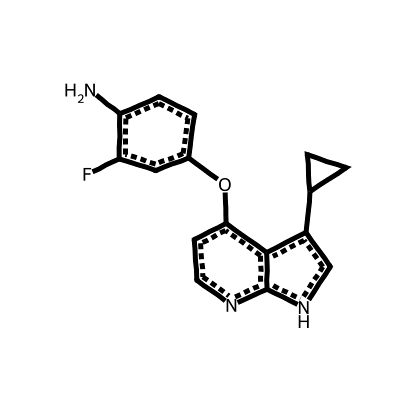 Nc1ccc(Oc2ccnc3[nH]cc(C4CC4)c23)cc1F